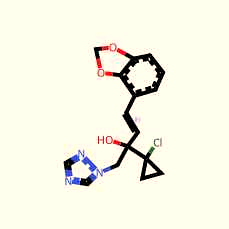 OC(/C=C/c1cccc2c1OCO2)(Cn1cncn1)C1(Cl)CC1